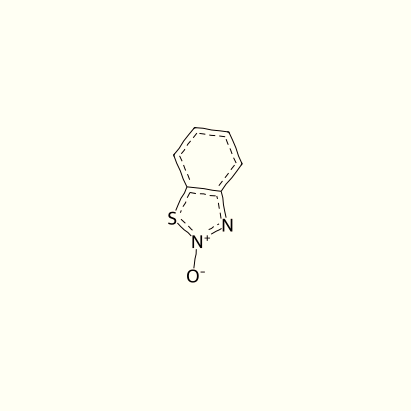 [O-][n+]1nc2ccccc2s1